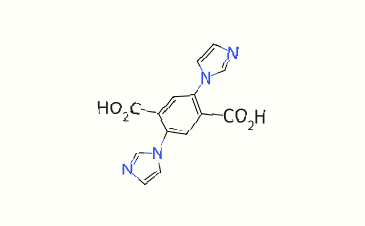 O=C(O)c1cc(-n2ccnc2)c(C(=O)O)cc1-n1ccnc1